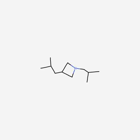 CC(C)CC1CN(CC(C)C)C1